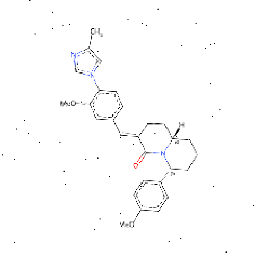 COc1ccc([C@H]2CCC[C@H]3CCC(=Cc4ccc(-n5cnc(C)c5)c(OC)c4)C(=O)N32)cc1